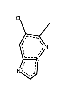 Cc1nn2ccnc2cc1Cl